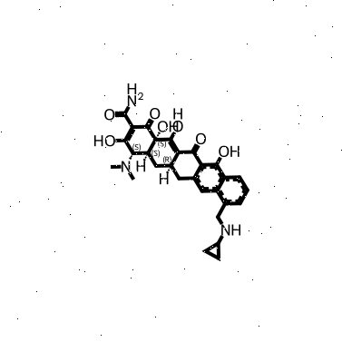 CN(C)[C@@H]1C(O)=C(C(N)=O)C(=O)[C@@]2(O)C(O)=C3C(=O)c4c(cc5c(CNC6CC6)cccc5c4O)C[C@H]3C[C@@H]12